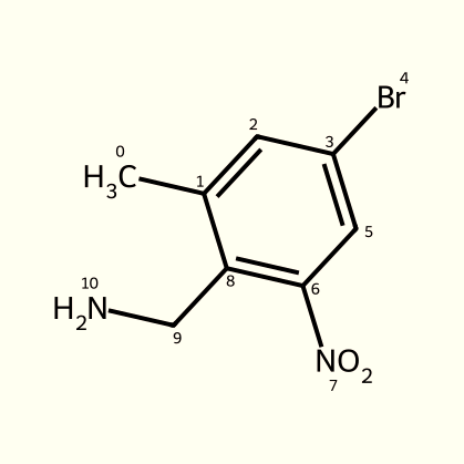 Cc1cc(Br)cc([N+](=O)[O-])c1CN